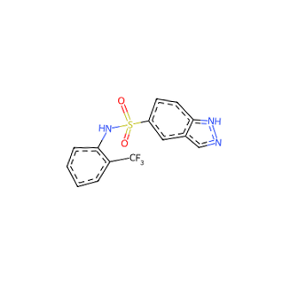 O=S(=O)(Nc1ccccc1C(F)(F)F)c1ccc2[nH]ncc2c1